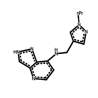 CCCn1cc(CNc2ccnc3c[nH]nc23)cn1